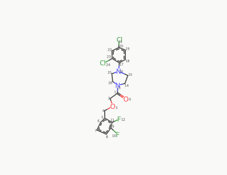 O=C(COCc1cccc(F)c1F)N1CCN(c2ccc(Cl)cc2Cl)CC1